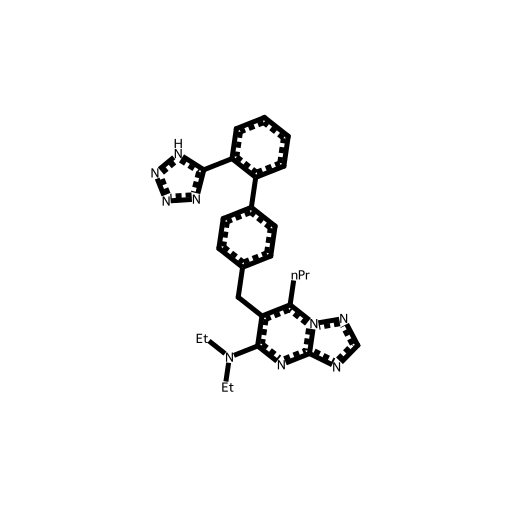 CCCc1c(Cc2ccc(-c3ccccc3-c3nnn[nH]3)cc2)c(N(CC)CC)nc2ncnn12